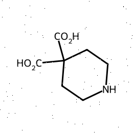 O=C(O)C1(C(=O)O)CCNCC1